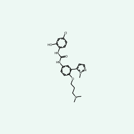 CN(C)CCCOc1ccc(NC(=O)Nc2ccc(Cl)cc2O)cc1-c1ccnn1C